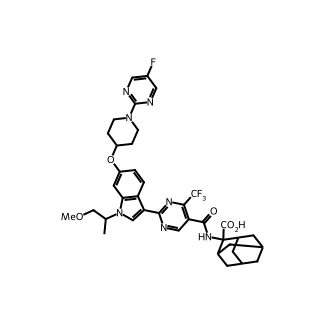 COCC(C)n1cc(-c2ncc(C(=O)NC3(C(=O)O)C4CC5CC(C4)CC3C5)c(C(F)(F)F)n2)c2ccc(OC3CCN(c4ncc(F)cn4)CC3)cc21